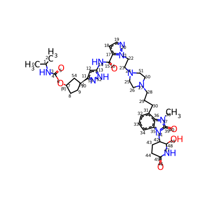 CC(C)NC(=O)O[C@@H]1CC[C@H](c2cc(NC(=O)c3ccnn3CCN3CCN(CCCc4cccc5c4n(C)c(=O)n5C4CCC(=O)NC4O)CC3)[nH]n2)C1